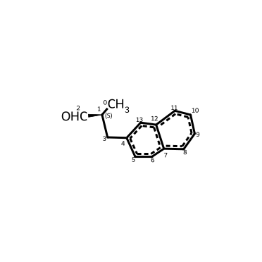 C[C@H](C=O)Cc1ccc2ccccc2c1